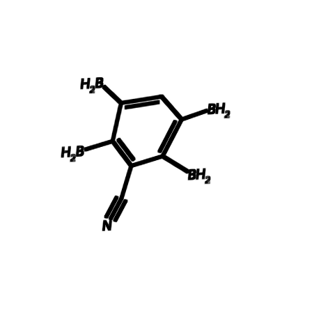 Bc1cc(B)c(B)c(C#N)c1B